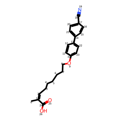 CC(=CCCCCCCOc1ccc(-c2ccc(C#N)cc2)cc1)C(=O)O